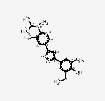 CCc1cc(-c2noc(-c3cnc(N(C)C(C)C)c(C)c3)n2)cc(C)c1O